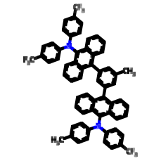 Cc1ccc(N(c2ccc(C(F)(F)F)cc2)c2c3ccccc3c(-c3cc(C)cc(-c4c5ccccc5c(N(c5ccc(C(F)(F)F)cc5)c5ccc(C(F)(F)F)cc5)c5ccccc45)c3)c3ccccc23)cc1